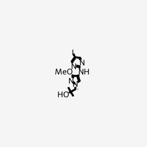 COc1nn([CH]C(C)(C)O)cc1Nc1ncc(I)cn1